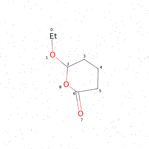 CCOC1CCCC(=O)O1